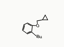 CCC(C)c1ccccc1OCC1CC1